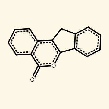 O=c1oc2c(c3ccccc13)Cc1ccccc1-2